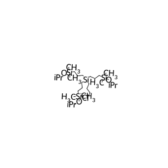 CC(C)O[Si](C)(C)CCC[Si](CCCCl)(CCC[Si](C)(C)OC(C)C)CCC[Si](C)(C)OC(C)C